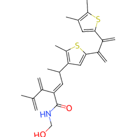 C=C(C)C(=C)/C(=C\C(C)c1cc(C(=C)C(=C)c2cc(C)c(C)s2)sc1C)C(=O)NCO